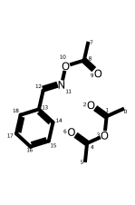 CC(=O)OC(C)=O.CC(=O)ON=Cc1ccccc1